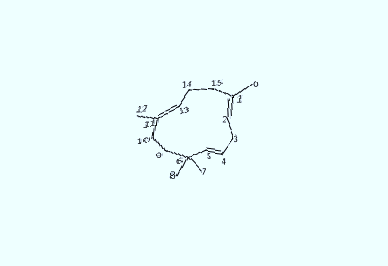 C/C1=C\C/C=C/C(C)(C)CC/C(C)=C/CC1